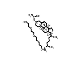 CC(C)CCC[C@@H](C)[C@H]1CC[C@H]2[C@@H]3CC=C4C[C@@H](OP(N)O)CC[C@]4(C)[C@H]3CC[C@]12C.OCCOCCOCCOCCO